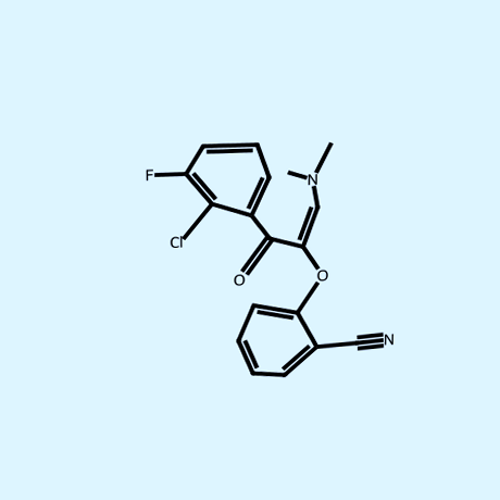 CN(C)/C=C(/Oc1ccccc1C#N)C(=O)c1cccc(F)c1Cl